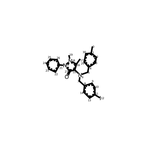 Cc1ccc(CN(Cc2ccc(I)cc2)c2c(C)n(C)n(-c3ccccc3)c2=O)cc1